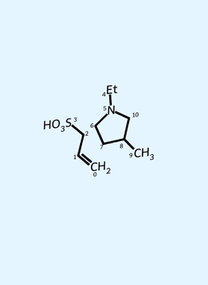 C=CCS(=O)(=O)O.CCN1CCC(C)C1